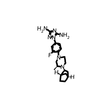 C[C@H]1CN(c2ccc(-n3nc(N)nc3N)cc2F)CCN1[C@H]1C[C@H]2CC[C@H]1C2